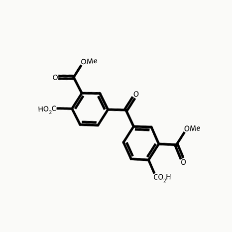 COC(=O)c1cc(C(=O)c2ccc(C(=O)O)c(C(=O)OC)c2)ccc1C(=O)O